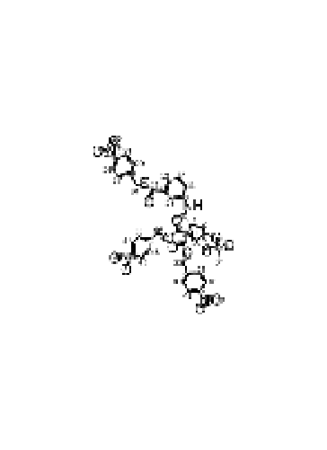 CS(=O)(=O)O[C@@H]1C[C@@H](CNc2cccc(C(=O)OCc3ccc([N+](=O)[O-])cc3)c2)[N+](C(=O)OCc2ccc([N+](=O)[O-])cc2)(C(=O)OCc2ccc([N+](=O)[O-])cc2)C1